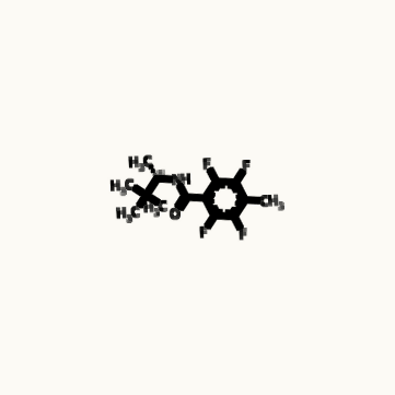 Cc1c(F)c(F)c(C(=O)N[C@@H](C)C(C)(C)C)c(F)c1F